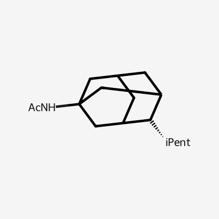 CCC[C@@H](C)C1C2CC3CC1CC(NC(C)=O)(C3)C2